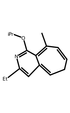 CCc1cc2c(c(OC(C)C)n1)=C(C)C=CCC=2